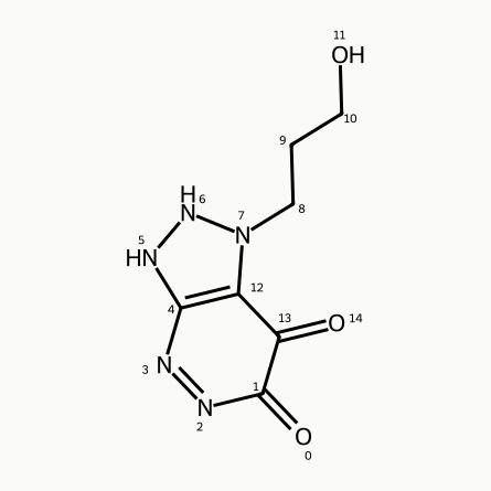 O=c1nnc2[nH][nH]n(CCCO)c=2c1=O